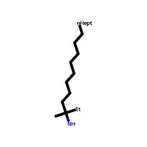 CCCCCCCCCCCCCCCC(C)([NH])CC